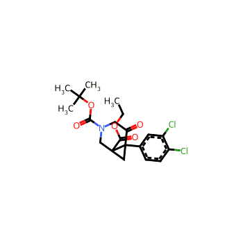 CCOC(=O)C12CN(C(=O)OC(C)(C)C)CC(=O)C1(c1ccc(Cl)c(Cl)c1)C2